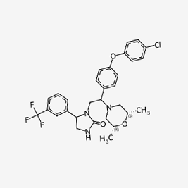 C[C@@H]1CN(C(CN2C(=O)NCC2c2cccc(C(F)(F)F)c2)c2ccc(Oc3ccc(Cl)cc3)cc2)C[C@H](C)O1